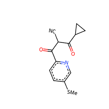 CSc1ccc(C(=O)C(C#N)C(=O)C2CC2)nc1